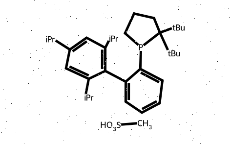 CC(C)c1cc(C(C)C)c(-c2ccccc2P2CCCC2(C(C)(C)C)C(C)(C)C)c(C(C)C)c1.CS(=O)(=O)O